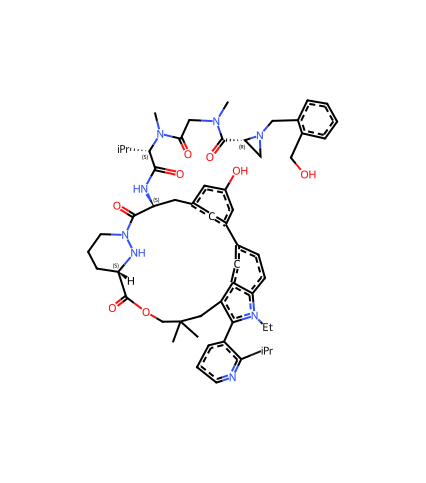 CCn1c(-c2cccnc2C(C)C)c2c3cc(ccc31)-c1cc(O)cc(c1)C[C@H](NC(=O)[C@H](C(C)C)N(C)C(=O)CN(C)C(=O)[C@H]1CN1Cc1ccccc1CO)C(=O)N1CCC[C@H](N1)C(=O)OCC(C)(C)C2